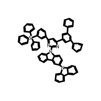 c1ccc(-c2cc(-c3ccccc3)cc(-c3cc(-c4cccc([Si](c5ccccc5)(c5ccccc5)c5ccccc5)c4)nc(-n4c5ccccc5c5cc(-n6c7ccccc7c7ccccc76)ccc54)n3)c2)cc1